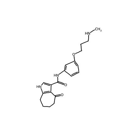 CNCCCOc1cccc(NC(=O)c2c[nH]c3c2C(=O)CCCC3)c1